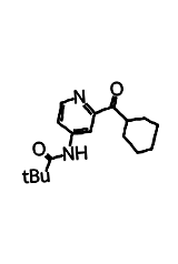 CC(C)(C)C(=O)Nc1ccnc(C(=O)C2CCCCC2)c1